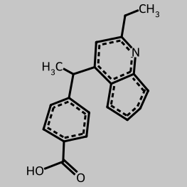 CCc1cc(C(C)c2ccc(C(=O)O)cc2)c2ccccc2n1